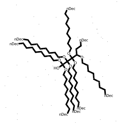 CCCCCCCCCCCCCCCCCCOC(CCCCCCCCCCCC)C(OCCCCCCCCCCCCCCCCCC)(OCCCCCCCCCCCCCCCCCC)C(OCCCCCCCCCCCCCCCCCC)(OCCCCCCCCCCCCCCCCCC)C(O)(OCCCCCCCCCCCCCCCCCC)OCCCCCCCCCCCCCCCCCC